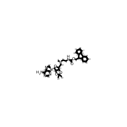 CN(CCNC(=O)OCC1c2ccccc2-c2ccccc21)CC1O[C@@H](n2cnc3c(N)ncnc32)C2OC(C)(C)OC12